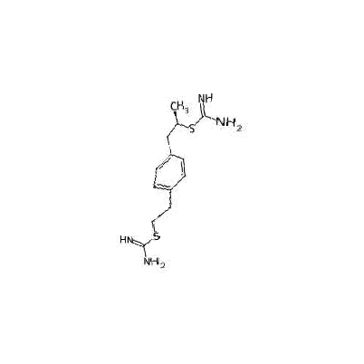 C[C@H](Cc1ccc(CCSC(=N)N)cc1)SC(=N)N